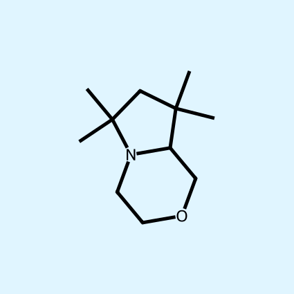 CC1(C)CC(C)(C)N2CCOCC21